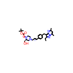 CCc1nn2c(C)cc(C)nc2c1Cc1ccc(/C=C/CN2CCN(OC(=O)OC(C)(C)C)[C@H](CO)C2)cc1